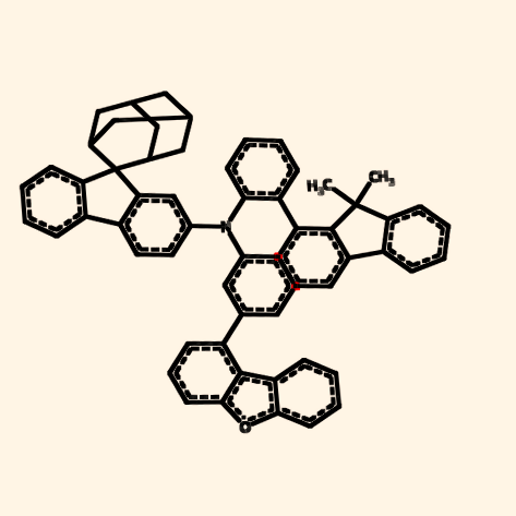 CC1(C)c2ccccc2-c2cccc(-c3ccccc3N(c3cccc(-c4cccc5oc6ccccc6c45)c3)c3ccc4c(c3)C3(c5ccccc5-4)C4CC5CC(C4)CC3C5)c21